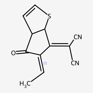 C/C=C1\C(=O)C2C=CSC2C1=C(C#N)C#N